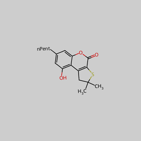 CCCCCc1cc(O)c2c3c(c(=O)oc2c1)SC(C)(C)C3